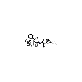 CC[C@@H](/C=C/C(=O)Nc1nnc(C(F)(F)F)s1)NC(=O)[C@@H]1CCCCN1OC(=O)C(F)(F)F